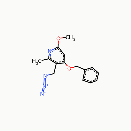 COc1cc(OCc2ccccc2)c(CN=[N+]=[N-])c(C)n1